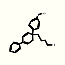 CCCCOc1ccc(C2(CCCCCl)C=CC(c3ccccc3)=CC2)cc1